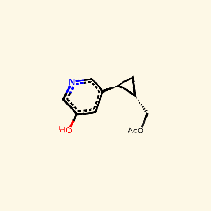 CC(=O)OC[C@H]1C[C@@H]1c1cncc(O)c1